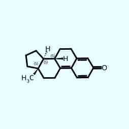 C[C@@]12CCC[C@H]1[C@@H]1CCC3=CC(=O)C=CC3=C1CC2